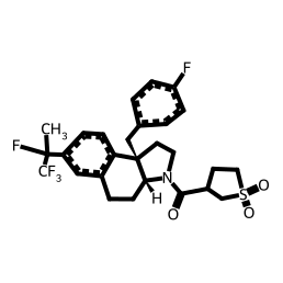 CC(F)(c1ccc2c(c1)CC[C@H]1N(C(=O)C3CCS(=O)(=O)C3)CC[C@@]21Cc1ccc(F)cc1)C(F)(F)F